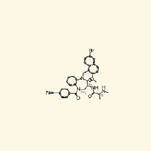 CN[C@@H](C)C(=O)N[C@@H]1C(=O)N(Cc2c(OC)ccc3cc(Br)ccc23)c2ccccc2N(C(=O)c2ccc(C#N)cc2)[C@H]1C